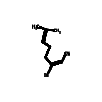 CCC(=CC#N)CCC=C(C)C